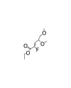 CCOC(=O)/C(F)=C/C(COC)OC